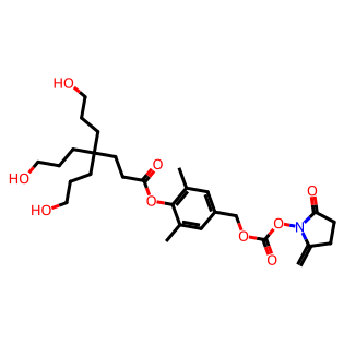 C=C1CCC(=O)N1OC(=O)OCc1cc(C)c(OC(=O)CCC(CCCO)(CCCO)CCCO)c(C)c1